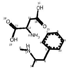 CNC(C)Cc1ccccc1.NC(CC(=O)O)C(=O)O